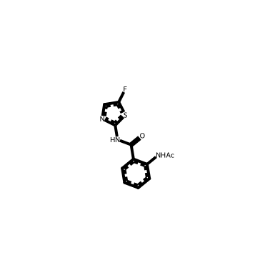 CC(=O)Nc1ccccc1C(=O)Nc1ncc(F)s1